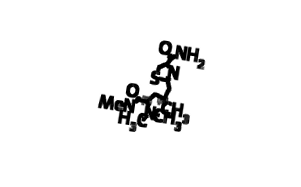 CNC(=O)[C@@H](C[C@H](C)CC1=NC(C(N)=O)CS1)N(C)C